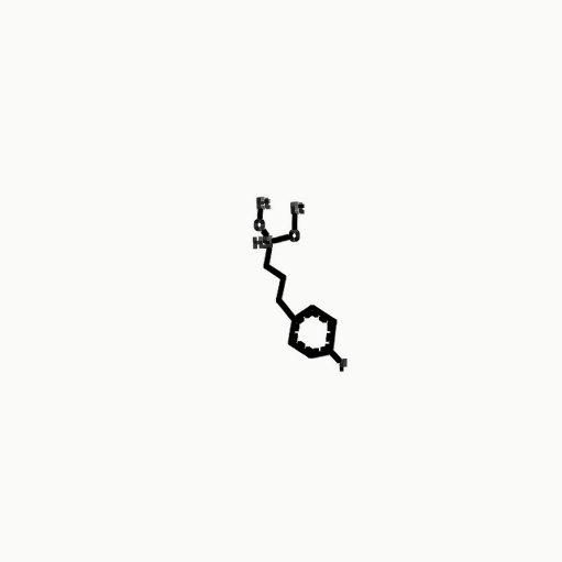 CCO[SiH](CCCc1ccc(F)cc1)OCC